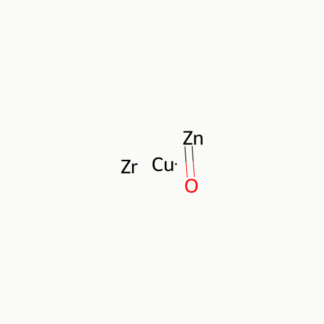 [Cu].[O]=[Zn].[Zr]